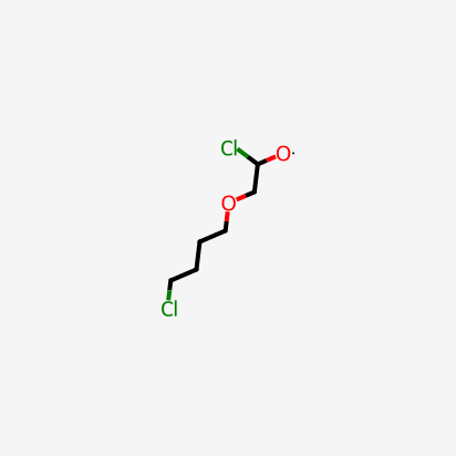 [O]C(Cl)COCCCCCl